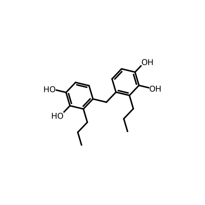 CCCc1c(Cc2ccc(O)c(O)c2CCC)ccc(O)c1O